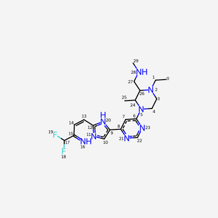 CCN1CCN(c2cc(-c3cnc(/C=C\C(=N)C(F)F)[nH]3)ncn2)C(C)C1CNC